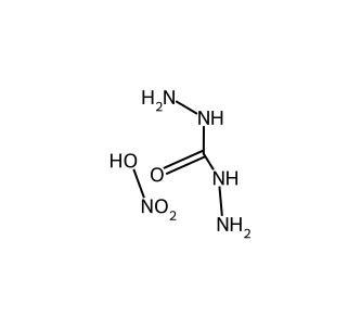 NNC(=O)NN.O=[N+]([O-])O